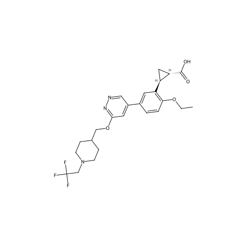 CCOc1ccc(-c2cnnc(OCC3CCN(CC(F)(F)F)CC3)c2)cc1[C@H]1C[C@@H]1C(=O)O